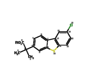 CCOC(=O)C(C)(C)c1ccc2c(c1)sc1ccc(Cl)cc12